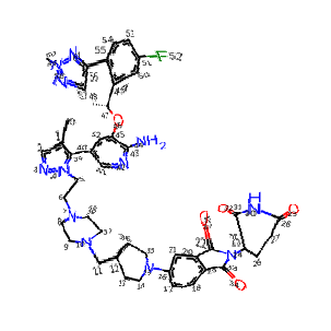 Cc1cnn(CCN2CCN(CC3CCN(c4ccc5c(c4)C(=O)N(C4CCC(=O)NC4=O)C5=O)CC3)CC2)c1-c1cnc(N)c(O[C@H](C)c2cc(F)ccc2-c2cnn(C)n2)c1